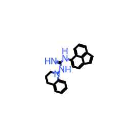 N=C(Nc1ccc2c3c(cccc13)C=C2)NN1CCCc2ccccc21